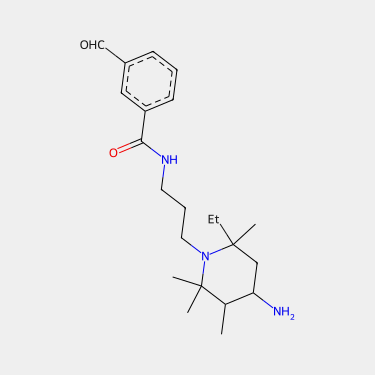 CCC1(C)CC(N)C(C)C(C)(C)N1CCCNC(=O)c1cccc(C=O)c1